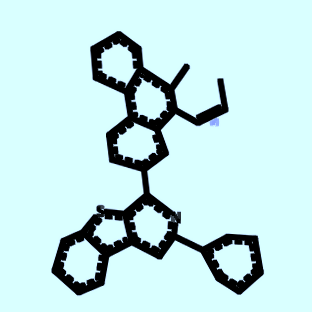 C/C=C\c1c(C)c2ccccc2c2ccc(-c3nc(-c4ccccc4)cc4c3sc3ccccc34)cc12